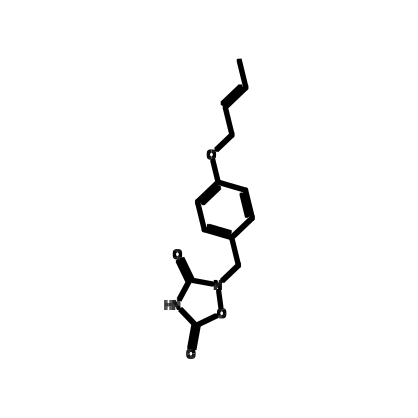 CC=CCOc1ccc(Cn2oc(=O)[nH]c2=O)cc1